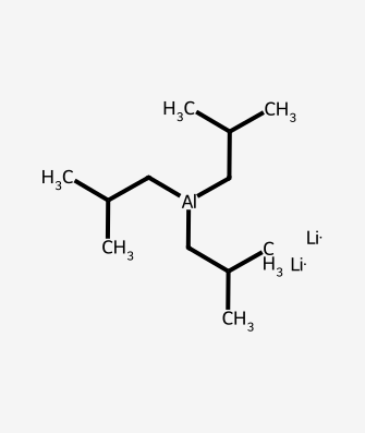 CC(C)[CH2][Al]([CH2]C(C)C)[CH2]C(C)C.[Li].[Li]